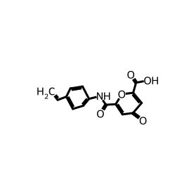 C=Cc1ccc(NC(=O)c2cc(=O)cc(C(=O)O)o2)cc1